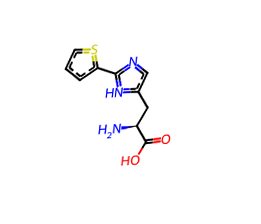 N[C@@H](Cc1cnc(-c2cccs2)[nH]1)C(=O)O